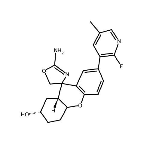 Cc1cnc(F)c(-c2ccc3c(c2)C2(COC(N)=N2)[C@H]2C[C@@H](O)CCC2O3)c1